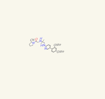 COc1ccc(-c2ccc(NCC(C)(C)NCC(=O)N3CCCC3C#N)nc2)c(OC)c1